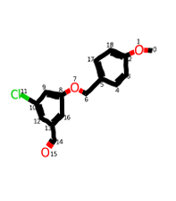 COc1ccc(COc2cc(Cl)cc(C=O)c2)cc1